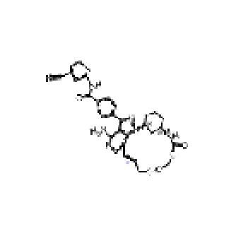 N#Cc1ccnc(NC(=O)c2ccc(-c3nn4c5c(cnc(N)c35)/C=C/CCCCCC(=O)N[C@@H]3CCC[C@@H]4C3)cc2)c1